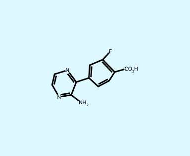 Nc1nccnc1-c1ccc(C(=O)O)c(F)c1